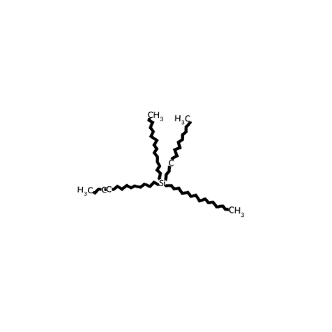 CCCCCCCCCCCCCCCC[Si](CCCCCCCCCCCCCCCC)(CCCCCCCCCCCCCCCC)CCCCCCCCCCCCCCCC